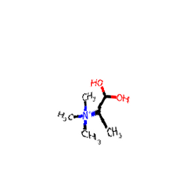 CC(C(O)O)[N+](C)(C)C